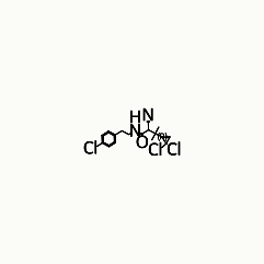 CC(C)(C(C#N)C(=O)NCCc1ccc(Cl)cc1)[C@H]1CC1(Cl)Cl